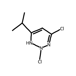 CC(C)C1=CC(Cl)=NN(Cl)N1